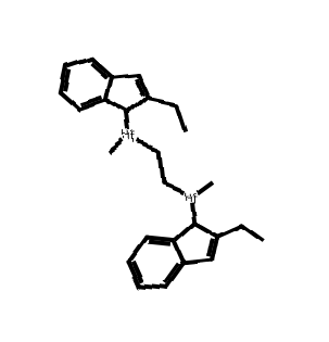 CCC1=Cc2ccccc2[CH]1[Hf]([CH3])[CH2][CH2][Hf]([CH3])[CH]1C(CC)=Cc2ccccc21